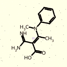 C/C(=C(/C(=N)N)C(=O)O)N(C)c1ccccc1